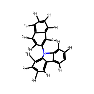 [2H]c1cc([2H])c2c3c([2H])c([2H])c([2H])c([2H])c3n(-c3c([2H])c([2H])c4c([2H])c([2H])c([2H])c([2H])c4c3[2H])c2c1[2H]